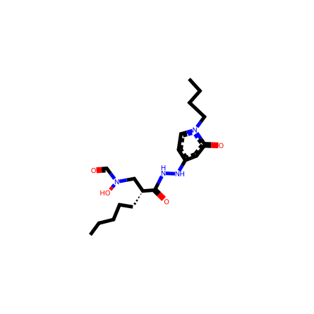 CCCCC[C@H](CN(O)C=O)C(=O)NNc1ccn(CCCC)c(=O)c1